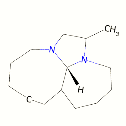 CC1CN2CCCCCC3CCCCN1[C@H]32